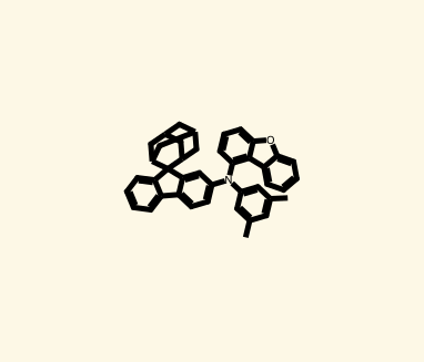 Cc1cc(C)cc(N(c2ccc3c(c2)C2(c4ccccc4-3)C3CC4CC(C3)CC2C4)c2cccc3oc4ccccc4c23)c1